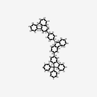 c1ccc(C2(c3ccccc3)c3ccccc3-c3cc(-c4ccc5c(c4)c4ccccc4n5-c4ccc(-c5cc6c7c(cccc7n5)-c5ccccc5-6)cc4)ccc32)cc1